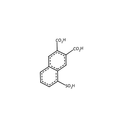 O=C(O)c1cc2cccc(S(=O)(=O)O)c2cc1C(=O)O